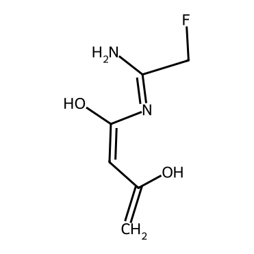 C=C(O)/C=C(O)\N=C(/N)CF